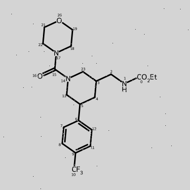 CCOC(=O)NCC1CC(c2ccc(C(F)(F)F)cc2)CN(C(=O)N2CCOCC2)C1